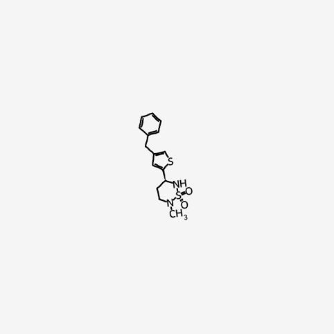 CN1CC[C@@H](c2cc(Cc3ccccc3)cs2)NS1(=O)=O